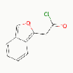 O=C(Cl)Cc1occ2ccccc12